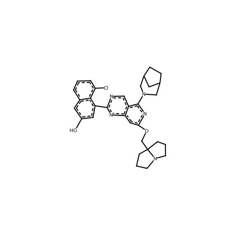 Oc1cc(-c2ncc3c(N4CC5CCC(C5)C4)nc(OCC45CCCN4CCC5)cc3n2)c2c(Cl)cccc2c1